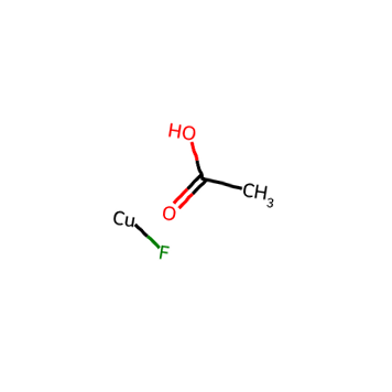 CC(=O)O.[F][Cu]